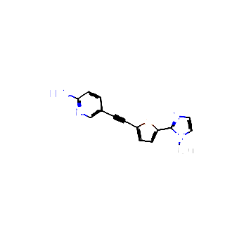 CC(C)(C)n1ccnc1-c1ccc(C#Cc2ccc(N)nc2)s1